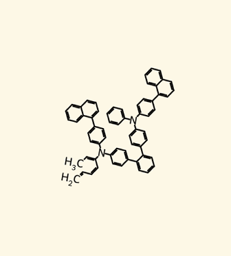 C=C/C=C\C(=C/C)N(c1ccc(-c2ccccc2-c2ccc(N(c3ccccc3)c3ccc(-c4cccc5ccccc45)cc3)cc2)cc1)c1ccc(-c2cccc3ccccc23)cc1